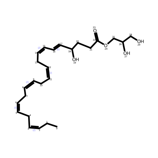 CC/C=C\C/C=C\C/C=C\C/C=C\C/C=C\C=C\C(O)CCC(=O)OCC(O)CO